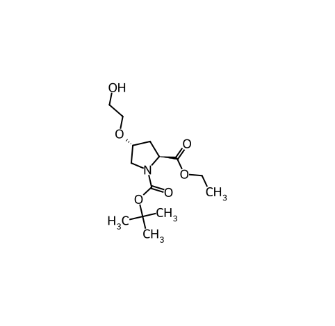 CCOC(=O)[C@@H]1C[C@@H](OCCO)CN1C(=O)OC(C)(C)C